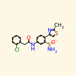 Cc1nc(-c2ccc(NC(=O)Cc3ccccc3Cl)cc2[S+](N)[O-])cs1